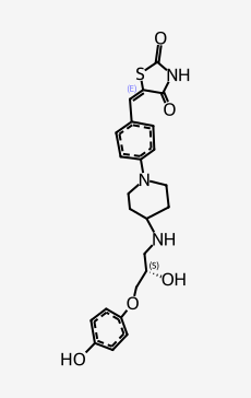 O=C1NC(=O)/C(=C\c2ccc(N3CCC(NC[C@H](O)COc4ccc(O)cc4)CC3)cc2)S1